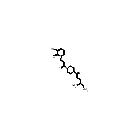 NCC(N)CCC(=O)N1CCN(C(=O)CCn2cccc(O)c2=O)CC1